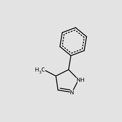 CC1C=NNC1c1ccccc1